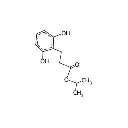 CC(C)OC(=O)CCc1c(O)cccc1O